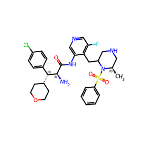 C[C@@H]1CNCC(Cc2c(F)cncc2NC(=O)[C@@H](N)[C@@H](c2ccc(Cl)cc2)C2CCOCC2)N1S(=O)(=O)c1ccccc1